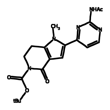 CC(=O)Nc1nccc(-c2cc3c(n2C)CCN(C(=O)OC(C)(C)C)C3=O)n1